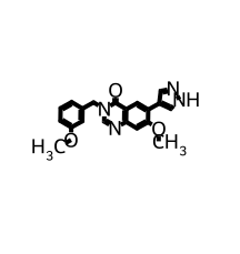 COc1cccc(Cn2cnc3cc(OC)c(-c4cn[nH]c4)cc3c2=O)c1